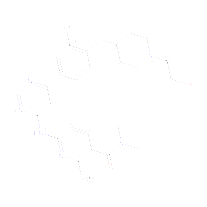 COc1nc(Nc2cc(-c3ccc(OC4CCN(C(=O)CO)CC4)c(C#N)c3)ncn2)ccc1C(=O)N(C)C